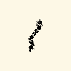 CC1CC2(CCN(C(=O)c3ccc(N4CCN(C5CCN(c6ccc7c(c6)C(=O)N(C6CCC(=O)NC6=O)C7=O)CC5)CC4)cc3)CC2)CN1c1ccc(C#N)c(Cl)c1